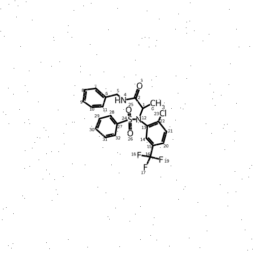 CC(C(=O)NCc1ccccc1)N(c1cc(C(F)(F)F)ccc1Cl)S(=O)(=O)c1ccccc1